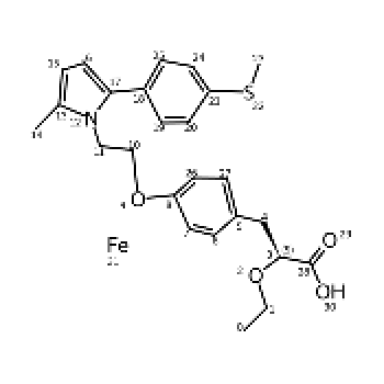 CCO[C@@H](Cc1ccc(OCCn2c(C)ccc2-c2ccc(SC)cc2)cc1)C(=O)O.[Fe]